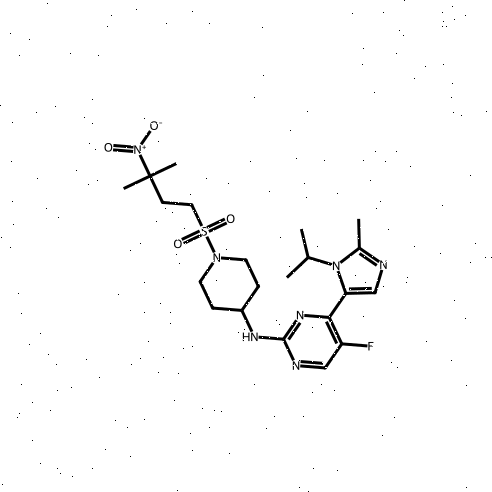 Cc1ncc(-c2nc(NC3CCN(S(=O)(=O)CCC(C)(C)[N+](=O)[O-])CC3)ncc2F)n1C(C)C